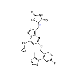 Cc1ccsc1-c1cc(F)ccc1CNc1cc(NC2CC2)n2ncc(/C=C3\NC(=O)NC3=O)c2n1